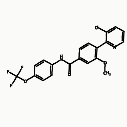 COc1cc(C(=O)Nc2ccc(OC(F)(F)F)cc2)ccc1-c1ncccc1Cl